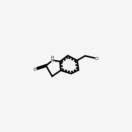 O=C1Cc2ccc(CCl)cc2N1